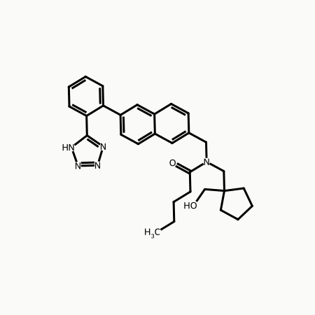 CCCCC(=O)N(Cc1ccc2cc(-c3ccccc3-c3nnn[nH]3)ccc2c1)CC1(CO)CCCC1